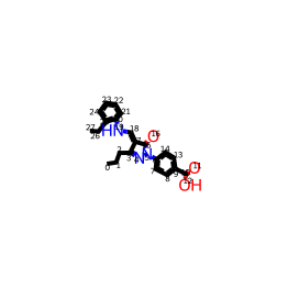 CCCC1=NN(c2ccc(C(=O)O)cc2)C(=O)/C1=C/Nc1ccccc1CC